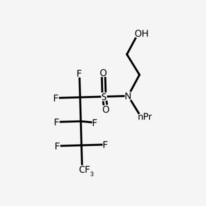 CCCN(CCO)S(=O)(=O)C(F)(F)C(F)(F)C(F)(F)C(F)(F)F